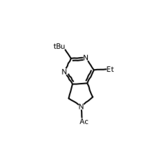 CCc1nc(C(C)(C)C)nc2c1CN(C(C)=O)C2